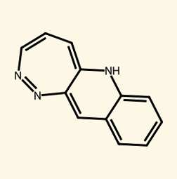 C1=CN=NC2=Cc3ccccc3NC2=C1